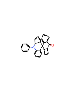 O=C1c2ccccc2C2(c3ccccc3N(c3ccccc3)C3C=CC=CC32)C2C=CC=CC12